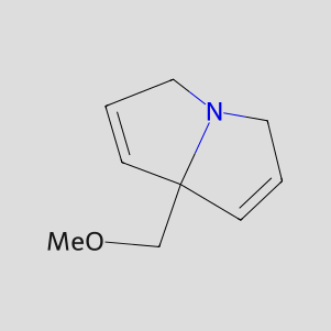 COCC12C=CCN1CC=C2